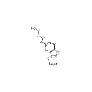 CCOC(=O)Cc1c[nH]c2ccc(OCCCO)cc12